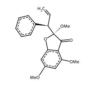 C=C[C@H](c1ccccc1)[C@]1(OC)Oc2cc(OC)cc(OC)c2C1=O